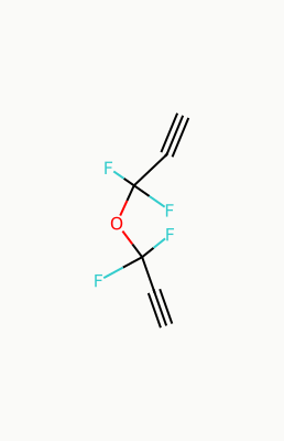 C#CC(F)(F)OC(F)(F)C#C